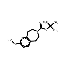 COc1ccc2c(n1)CCN(C(=O)OC(C)(C)C)CC2